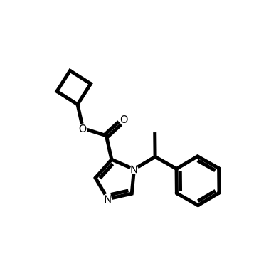 CC(c1ccccc1)n1cncc1C(=O)OC1CCC1